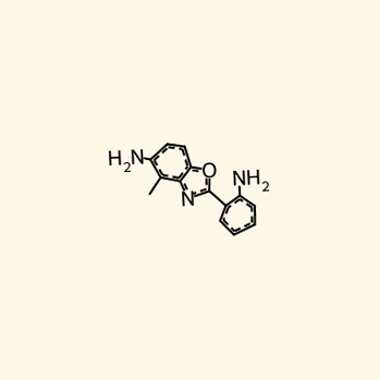 Cc1c(N)ccc2oc(-c3ccccc3N)nc12